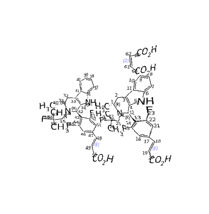 C[C@@H]1Cc2c([nH]c3ccccc23)[C@@H](c2c(F)cc(/C=C/C(=O)O)cc2F)N1CC(C)(C)F.C[C@@H]1Cc2c([nH]c3ccccc23)[C@@H](c2c(F)cc(/C=C/C(=O)O)cc2F)N1CC(C)(C)F.O=C(O)/C=C\C(=O)O